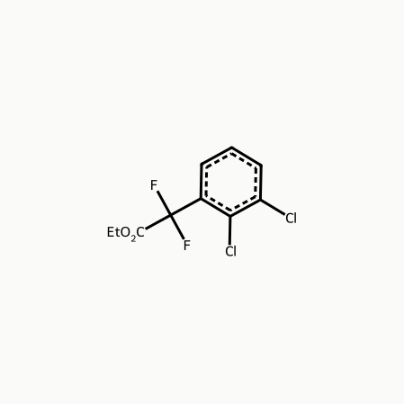 CCOC(=O)C(F)(F)c1cccc(Cl)c1Cl